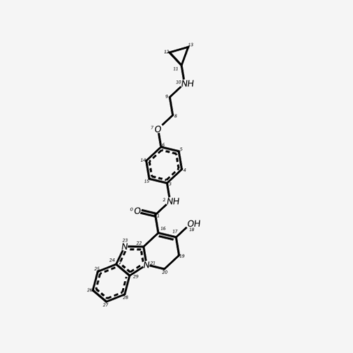 O=C(Nc1ccc(OCCNC2CC2)cc1)C1=C(O)CCn2c1nc1ccccc12